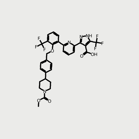 COC(=O)N1CCC(c2ccc(COc3c(-c4cccc(-c5n[nH]c(C(F)(F)F)c5C(=O)O)n4)cccc3C(F)(F)F)cc2)CC1